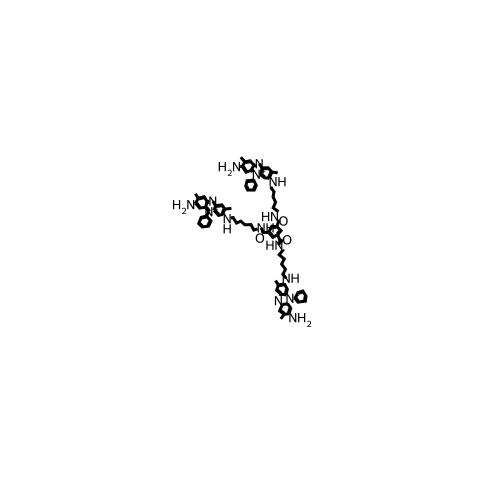 Cc1cc2nc3cc(C)c(NCCCCCCNC(=O)c4cc(C(=O)NCCCCCCNc5cc6c(cc5C)nc5cc(C)c(N)cc5[n+]6-c5ccccc5)cc(C(=O)NCCCCCCNc5cc6c(cc5C)nc5cc(C)c(N)cc5[n+]6-c5ccccc5)c4)cc3[n+](-c3ccccc3)c2cc1N